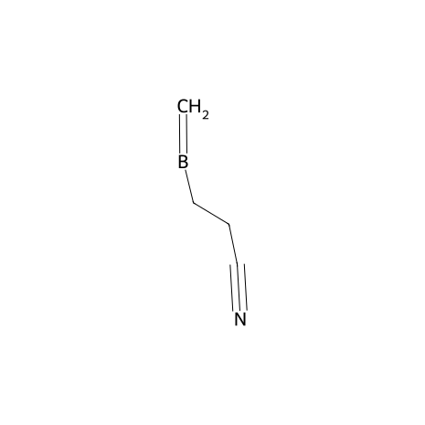 C=BCCC#N